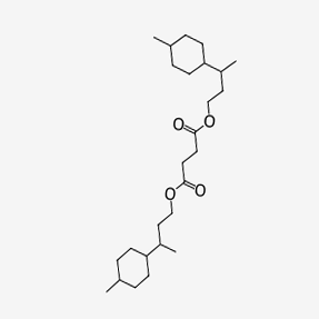 CC1CCC(C(C)CCOC(=O)CCC(=O)OCCC(C)C2CCC(C)CC2)CC1